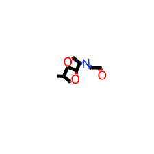 CC1COC2C(N=CC=O)COC12